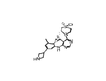 Cc1cc(C2CNC2)cc2c1O[C@H](C)c1c(ncnc1N1CCS(=O)(=O)CC1)N2